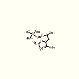 CCCCC(CC)CC(O[PH](=O)[O-])C(CC)CCCC.CCCC[N+](CCCC)(CCCC)CCCC